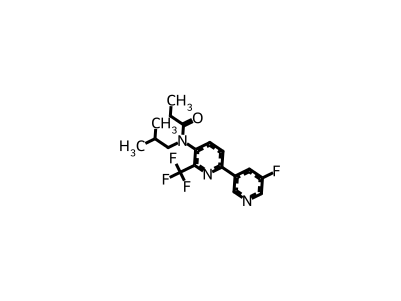 CCC(=O)N(CC(C)C)c1ccc(-c2cncc(F)c2)nc1C(F)(F)F